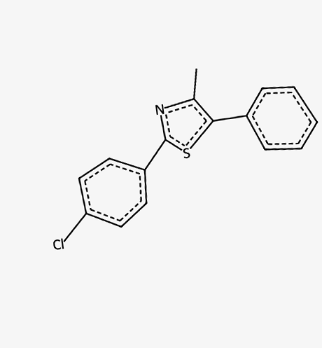 Cc1nc(-c2ccc(Cl)cc2)sc1-c1ccccc1